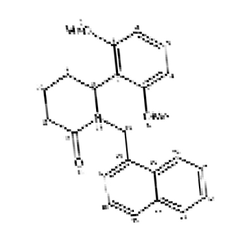 COc1cccc(OC)c1C1CCCC(=O)N1Cc1cccc2ccccc12